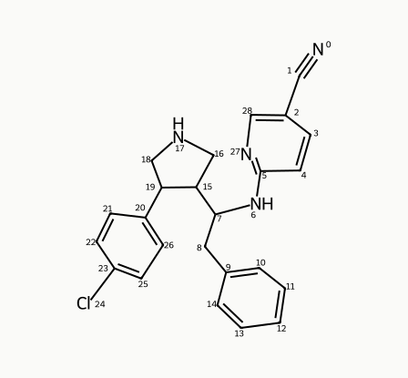 N#Cc1ccc(NC(Cc2ccccc2)C2CNCC2c2ccc(Cl)cc2)nc1